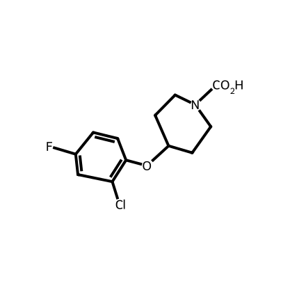 O=C(O)N1CCC(Oc2ccc(F)cc2Cl)CC1